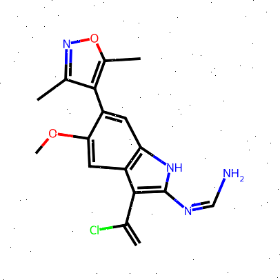 C=C(Cl)c1c(/N=C\N)[nH]c2cc(-c3c(C)noc3C)c(OC)cc12